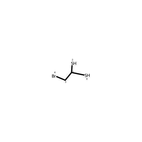 SC(S)CBr